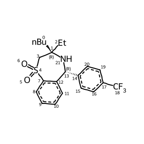 CCCC[C@]1(CC)CS(=O)(=O)c2ccccc2[C@@H](c2ccc(C(F)(F)F)cc2)N1